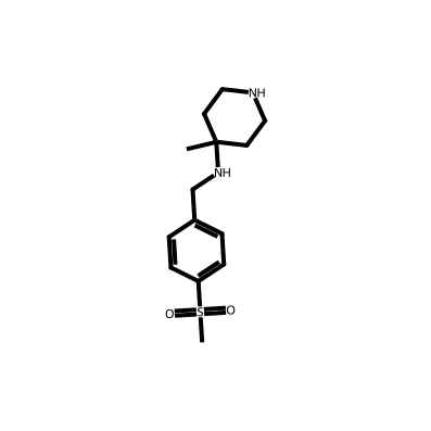 CC1(NCc2ccc(S(C)(=O)=O)cc2)CCNCC1